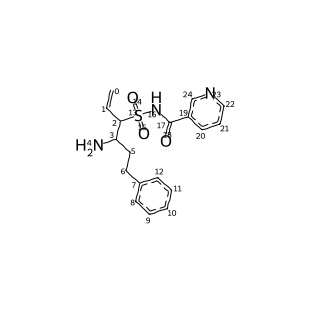 C=CC(C(N)CCc1ccccc1)S(=O)(=O)NC(=O)c1cccnc1